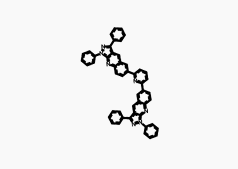 c1ccc(-c2nn(-c3ccccc3)c3nc4ccc(-c5cccc(-c6ccc7nc8c(cc7c6)c(-c6ccccc6)nn8-c6ccccc6)n5)cc4cc23)cc1